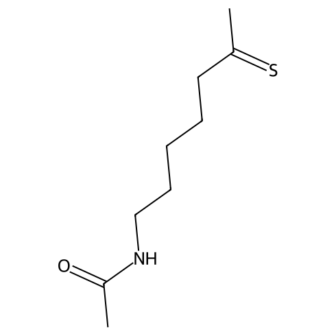 CC(=O)NCCCCCC(C)=S